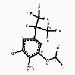 Nc1c(Cl)cc(C(F)(C(F)(F)F)C(F)(F)F)cc1OC(F)F